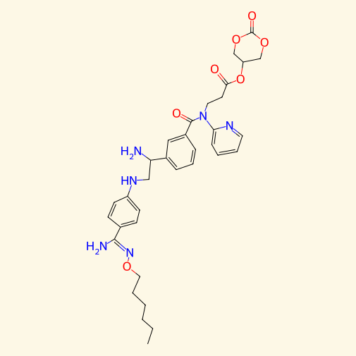 CCCCCCON=C(N)c1ccc(NCC(N)c2cccc(C(=O)N(CCC(=O)OC3COC(=O)OC3)c3ccccn3)c2)cc1